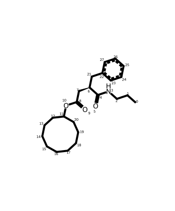 CCCNC(=O)[C@@H](CC(=O)OC1CCCCCCCCC1)Cc1ccccc1